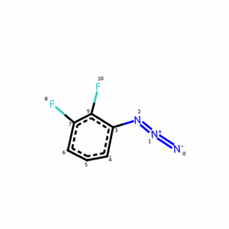 [N-]=[N+]=Nc1[c]ccc(F)c1F